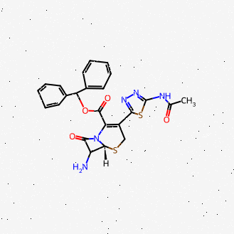 CC(=O)Nc1nnc(C2=C(C(=O)OC(c3ccccc3)c3ccccc3)N3C(=O)C(N)[C@H]3SC2)s1